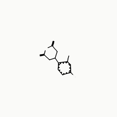 O=C1CC(c2ccc([N+](=O)[O-])cc2F)CC(=O)O1